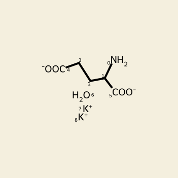 NC(CCC(=O)[O-])C(=O)[O-].O.[K+].[K+]